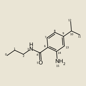 CCCNC(=O)c1ccc(C(C)C)cc1N